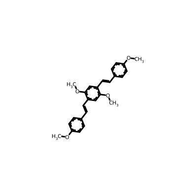 COc1ccc(/C=C/c2cc(OC)c(/C=C/c3ccc(OC)cc3)cc2OC)cc1